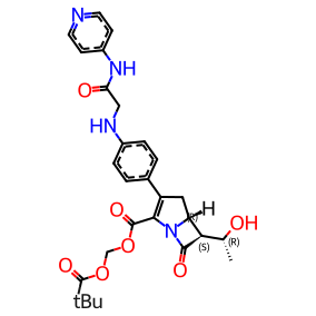 C[C@@H](O)[C@H]1C(=O)N2C(C(=O)OCOC(=O)C(C)(C)C)=C(c3ccc(NCC(=O)Nc4ccncc4)cc3)C[C@H]12